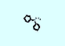 [PH4]N(c1[c]cccc1)c1ccccc1